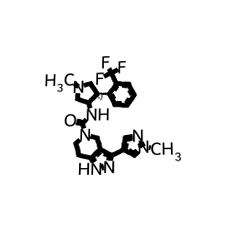 CN1CC(NC(=O)N2CCc3[nH]nc(-c4cnn(C)c4)c3C2)[C@H](c2ccccc2C(F)(F)F)C1